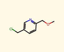 COCc1ccc(CCl)cn1